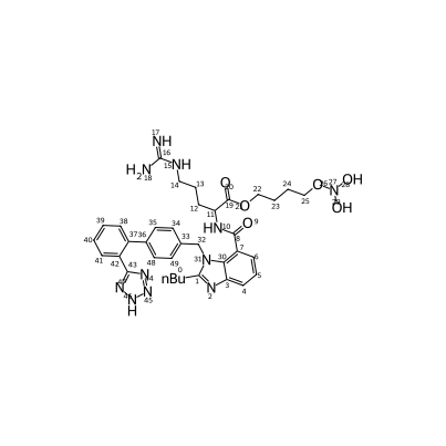 CCCCc1nc2cccc(C(=O)NC(CCCNC(=N)N)C(=O)OCCCCON(O)O)c2n1Cc1ccc(-c2ccccc2-c2nn[nH]n2)cc1